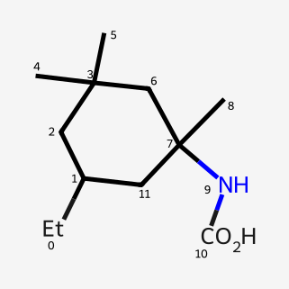 CCC1CC(C)(C)CC(C)(NC(=O)O)C1